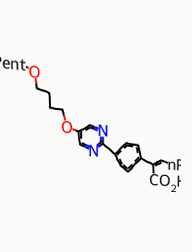 CCCC=C(C(=O)O)c1ccc(-c2ncc(OCCCCOCCCCC)cn2)cc1